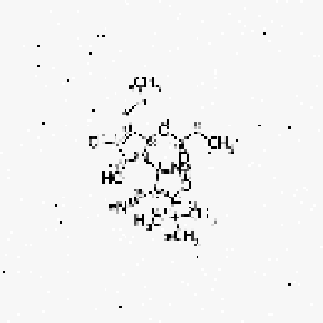 CCCC1=C(Cl)C(O)N(c2noc(C(C)(C)C)c2C#N)C1OC(=O)CC